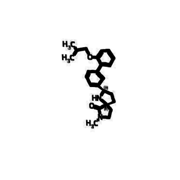 CC(C)COc1ccccc1-c1cccc([C@H]2CC[C@]3(CCN(C)C3=O)N2)c1